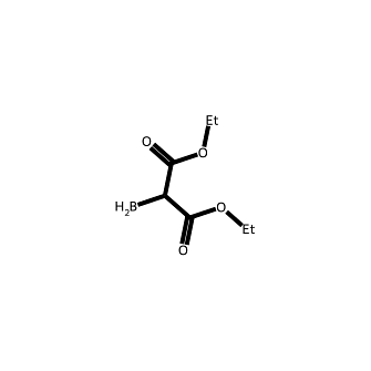 BC(C(=O)OCC)C(=O)OCC